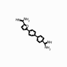 N=C(N)c1ccc(-c2ccc(-c3ccc(C(=N)N)o3)cc2)cc1